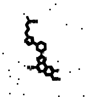 COc1cc2nc(N)n3nc([C@@H]4CCCN(c5cnn(CCC[C@@H](C)O)c5)C4)nc3c2cc1F